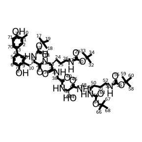 Cc1cc(-c2ccc(O)c(C[C@H](NC(=O)OC(C)(C)C)C(=O)N[C@@H](CCCNC(=O)OC(C)(C)C)C(=O)NCC(=O)N[C@@H](CO)C(=O)NC[C@H](CCCNC(=O)OC(C)(C)C)NC(=O)OC(C)(C)C)c2)ccc1O